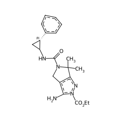 CCOC(=O)n1nc2c(c1N)CN(C(=O)NC1C[C@@H]1c1ccccc1)C2(C)C